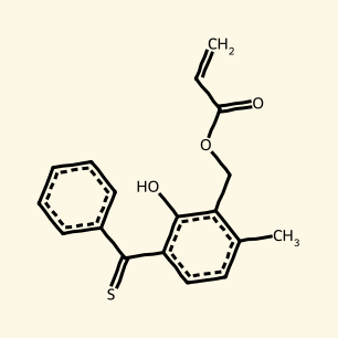 C=CC(=O)OCc1c(C)ccc(C(=S)c2ccccc2)c1O